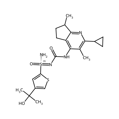 Cc1c(C2CC2)nc2c(c1NC(=O)N=[S@](N)(=O)c1cc(C(C)(C)O)cs1)CCC2C